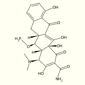 CN(C)[C@@H]1C(O)=C(C(N)=O)C(=O)[C@@]2(O)C(O)=C3C(=O)c4c(O)cccc4C[C@H]3[C@H](OP)[C@@H]12